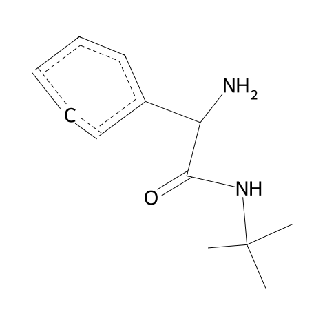 CC(C)(C)NC(=O)C(N)c1ccccc1